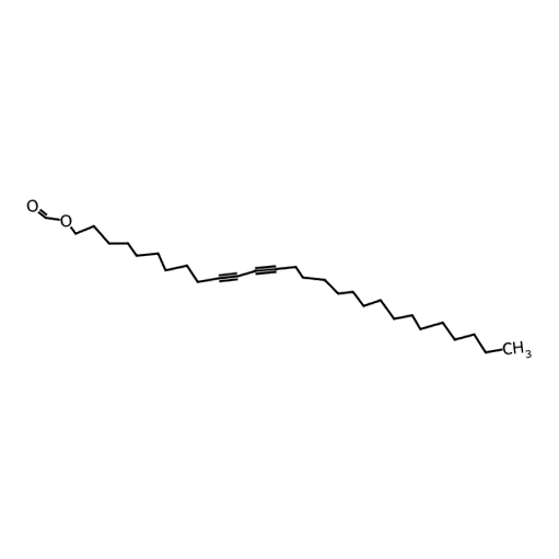 CCCCCCCCCCCCCCCC#CC#CCCCCCCCCCOC=O